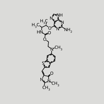 CC1=N/C(=C/c2cc3ccc(N(C)CCOC(=O)NC(C)[C@@H](C)Oc4nc(N)nc5[nH]cnc45)cc3s2)C(=O)N1C